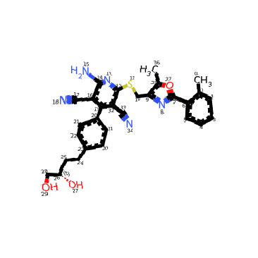 Cc1ccccc1-c1nc(CSc2nc(N)c(C#N)c(-c3ccc(CC[C@H](O)CO)cc3)c2C#N)c(C)o1